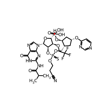 CC(C)C(=O)Nc1nc2c(ncn2[C@@H]2O[C@H](CO)[C@@H](OCC(F)(F)F)[C@H]2O[P@](=S)(OCCC#N)OC[C@H]2C[C@@H](Oc3ccncn3)C[C@@H]2O[PH](=O)O)c(=O)[nH]1